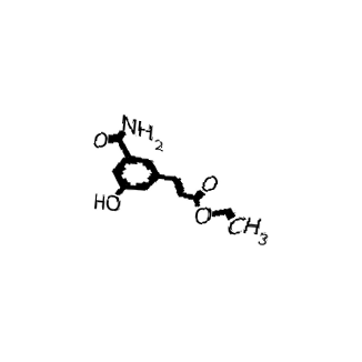 CCOC(=O)C=Cc1cc(O)cc(C(N)=O)c1